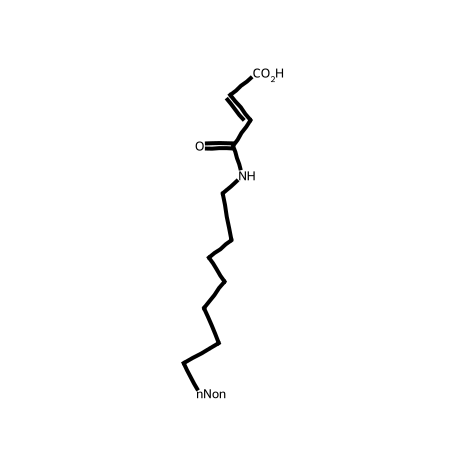 CCCCCCCCCCCCCCCCNC(=O)C=CC(=O)O